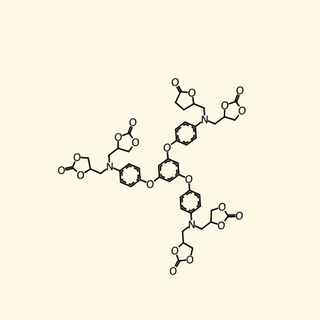 O=C1CCC(CN(CC2COC(=O)O2)c2ccc(Oc3cc(Oc4ccc(N(CC5COC(=O)O5)CC5COC(=O)O5)cc4)cc(Oc4ccc(N(CC5COC(=O)O5)CC5COC(=O)O5)cc4)c3)cc2)O1